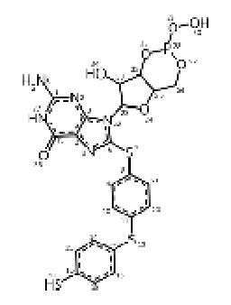 Nc1nc2c(nc(Sc3ccc(Sc4ccc(S)cc4)cc3)n2C2OC3COP(OO)OC3C2O)c(=O)[nH]1